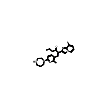 CCCC(=O)/C(=C\c1ccc(N2CCCNCC2)nc1C)c1cn2cccc(Cl)c2n1